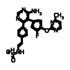 Cc1ccnc(Oc2ccc(-c3c(N)ncnc3-c3ccc(C=CN[SH](=O)=O)cc3)cc2F)n1